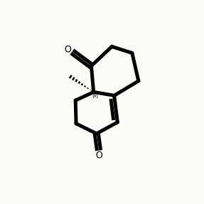 C[C@@]12CCC(=O)C=C1CCCC2=O